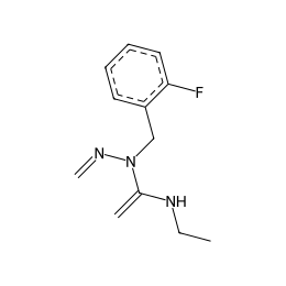 C=NN(Cc1ccccc1F)C(=C)NCC